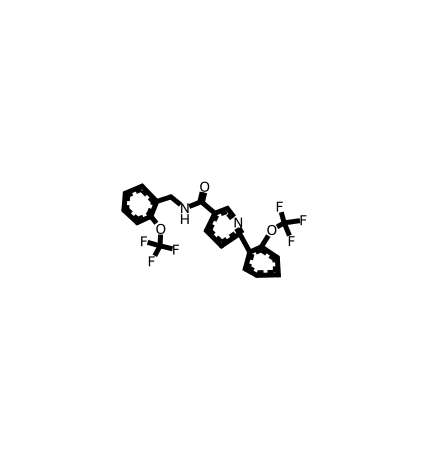 O=C(NCc1ccccc1OC(F)(F)F)c1ccc(-c2ccccc2OC(F)(F)F)nc1